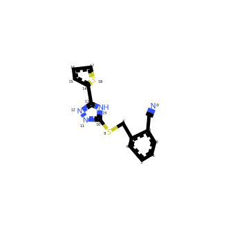 N#Cc1ccccc1CSc1nnc(-c2cccs2)[nH]1